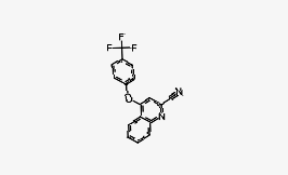 N#Cc1cc(Oc2ccc(C(F)(F)F)cc2)c2ccccc2n1